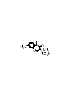 Cc1ccc2c(c1)OC[C@H](N(C)C(=O)O)C(=O)N2